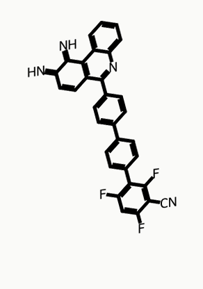 N#Cc1c(F)cc(F)c(-c2ccc(-c3ccc(-c4nc5ccccc5c5c4C=CC(=N)C5=N)cc3)cc2)c1F